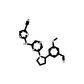 COc1cc(C=O)cc(C2CCCN2c2cncc(Nc3ncc(C#N)s3)n2)c1